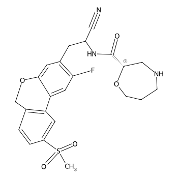 CS(=O)(=O)c1ccc2c(c1)-c1cc(F)c(CC(C#N)NC(=O)[C@@H]3CNCCCO3)cc1OC2